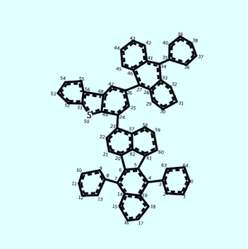 c1ccc(-c2c3c(c(-c4ccccc4)c4ccccc24)-c2ccc(-c4cc(-c5c6ccccc6c(-c6ccccc6)c6ccccc56)cc5c4sc4ccccc45)c4cccc-3c24)cc1